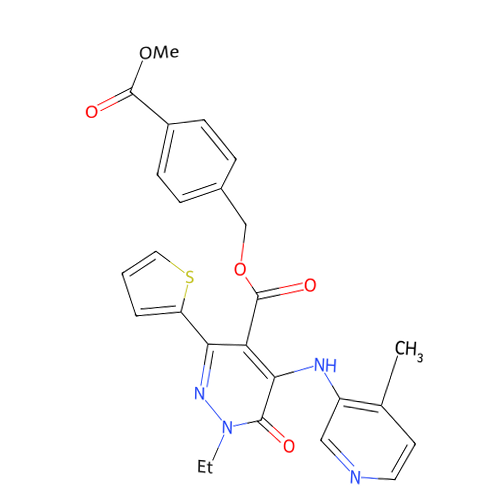 CCn1nc(-c2cccs2)c(C(=O)OCc2ccc(C(=O)OC)cc2)c(Nc2cnccc2C)c1=O